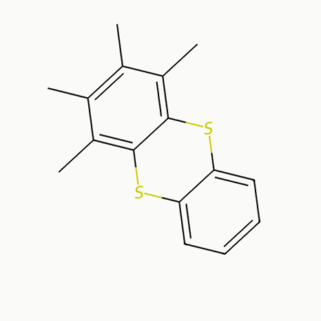 Cc1c(C)c(C)c2c(c1C)Sc1ccccc1S2